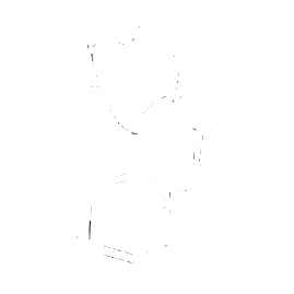 [c]1ncnc2ccc3ccccc3c12